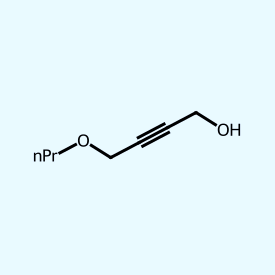 CCCOCC#CCO